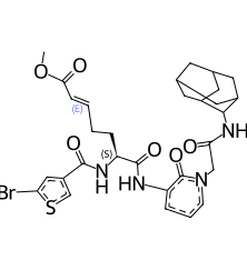 COC(=O)/C=C/CC[C@H](NC(=O)c1csc(Br)c1)C(=O)Nc1cccn(CC(=O)NC2C3CC4CC(C3)CC2C4)c1=O